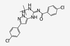 CC(C)(C)N/C(=N/C(=O)c1ccc(Cl)cc1)Nc1cc(-c2ccc(Cl)cc2)n[nH]1